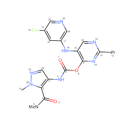 CNC(=O)c1c(NC(=O)Oc2nc(C(C)C)ncc2Nc2cncc(F)c2)cnn1C